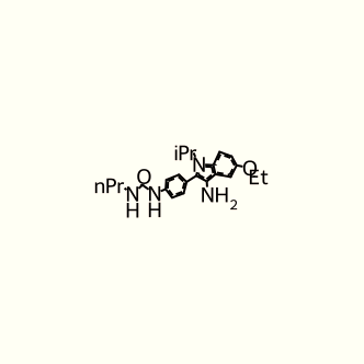 CCCNC(=O)Nc1ccc(-c2c(N)c3cc(OCC)ccc3n2C(C)C)cc1